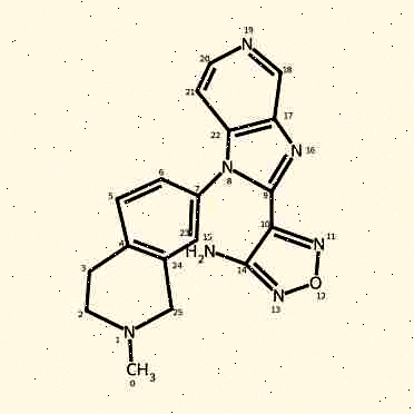 CN1CCc2ccc(-n3c(-c4nonc4N)nc4cnccc43)cc2C1